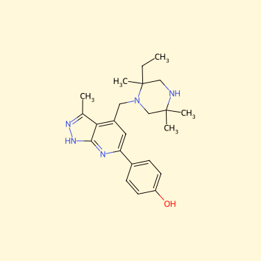 CCC1(C)CNC(C)(C)CN1Cc1cc(-c2ccc(O)cc2)nc2[nH]nc(C)c12